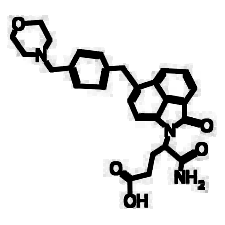 NC(=O)C(CCC(=O)O)N1C(=O)c2cccc3c(Cc4ccc(CN5CCOCC5)cc4)ccc1c23